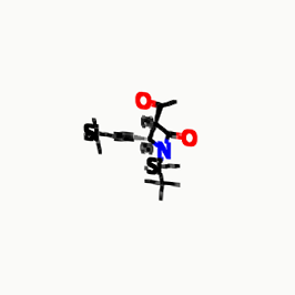 CC(=O)[C@H]1C(=O)N([Si](C)(C)C(C)(C)C)[C@@H]1C#C[Si](C)(C)C